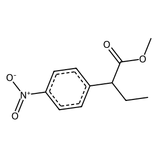 CCC(C(=O)OC)c1ccc([N+](=O)[O-])cc1